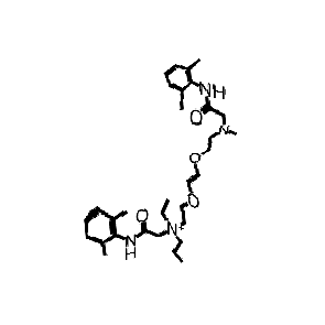 CCC[N+](CC)(CCOCCOCCN(C)CC(=O)Nc1c(C)cccc1C)CC(=O)Nc1c(C)cccc1C